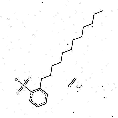 CCCCCCCCCCCCc1ccccc1S(=O)(=O)[O-].[C]=O.[Cu+]